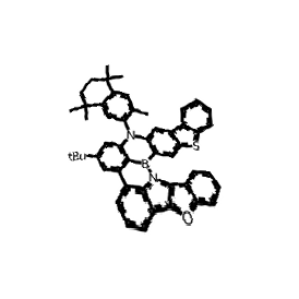 Cc1cc2c(cc1N1c3cc4c(cc3B3c5c(cc(C(C)(C)C)cc51)-c1cccc5c6oc7ccccc7c6n3c15)sc1ccccc14)C(C)(C)CCC2(C)C